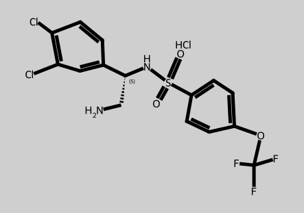 Cl.NC[C@@H](NS(=O)(=O)c1ccc(OC(F)(F)F)cc1)c1ccc(Cl)c(Cl)c1